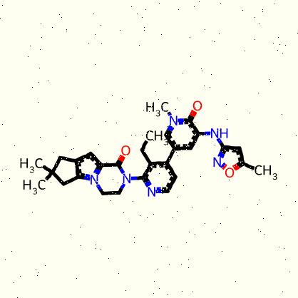 CCc1c(-c2cc(Nc3cc(C)on3)c(=O)n(C)c2)ccnc1N1CCn2c(cc3c2CC(C)(C)C3)C1=O